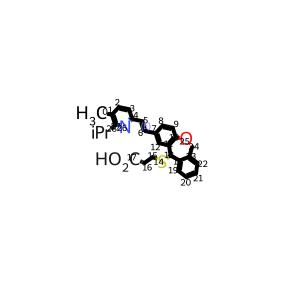 Cc1ccc(/C=C/c2ccc3c(c2)C(SCCC(=O)O)c2ccccc2CO3)nc1C(C)C